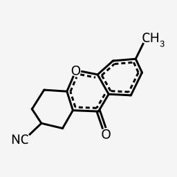 Cc1ccc2c(=O)c3c(oc2c1)CCC(C#N)C3